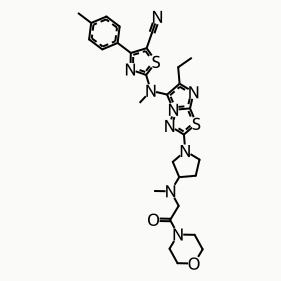 CCc1nc2sc(N3CCC(N(C)CC(=O)N4CCOCC4)C3)nn2c1N(C)c1nc(-c2ccc(C)cc2)c(C#N)s1